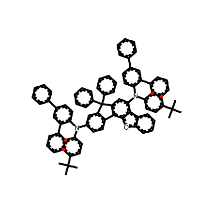 CC(C)(C)c1ccc(N(c2ccc3c(c2)C(c2ccccc2)(c2ccccc2)c2cc(N(c4ccc(C(C)(C)C)cc4)c4ccc(-c5ccccc5)cc4-c4ccccc4)c4c(oc5ccccc54)c2-3)c2ccc(-c3ccccc3)cc2-c2ccccc2)cc1